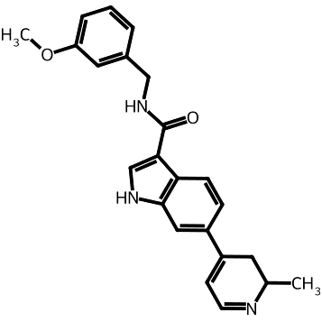 COc1cccc(CNC(=O)c2c[nH]c3cc(C4=CC=NC(C)C4)ccc23)c1